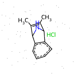 CC1=C(C)C2NC1c1ccccc12.Cl